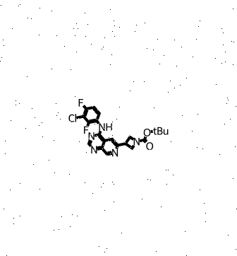 CC(C)(C)OC(=O)N1CC(c2cc3c(Nc4ccc(F)c(Cl)c4F)ncnc3cn2)C1